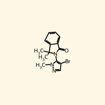 Cn1ncc(Br)c1N1C(=O)c2ccccc2C1(C)C